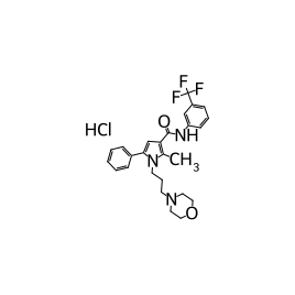 Cc1c(C(=O)Nc2cccc(C(F)(F)F)c2)cc(-c2ccccc2)n1CCCN1CCOCC1.Cl